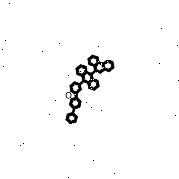 c1ccc(-c2ccc3c(c2)oc2ccc(-c4c5ccccc5c(-c5cc6ccccc6c6ccccc56)c5ccccc45)cc23)cc1